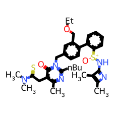 CCCCc1nc(C)c(CC(=S)N(C)C)c(=O)n1Cc1ccc(-c2ccccc2[S+]([O-])NC2=NC(C)=C2C)c(COCC)c1